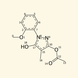 COc1ccccc1-n1nc(OC(C)=O)c(C)c1O